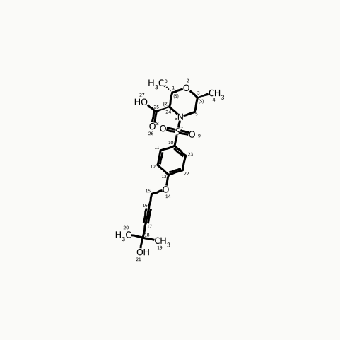 C[C@@H]1O[C@@H](C)CN(S(=O)(=O)c2ccc(OCC#CC(C)(C)O)cc2)[C@H]1C(=O)O